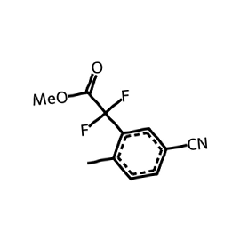 COC(=O)C(F)(F)c1cc(C#N)ccc1C